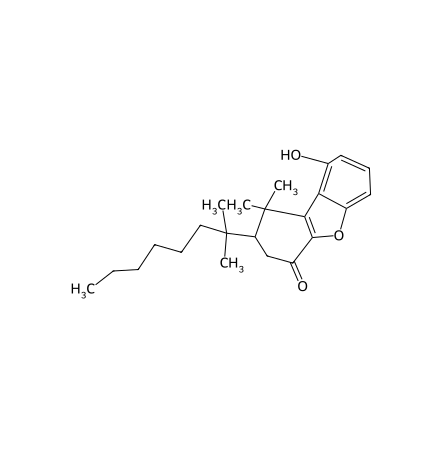 CCCCCCC(C)(C)C1CC(=O)c2oc3cccc(O)c3c2C1(C)C